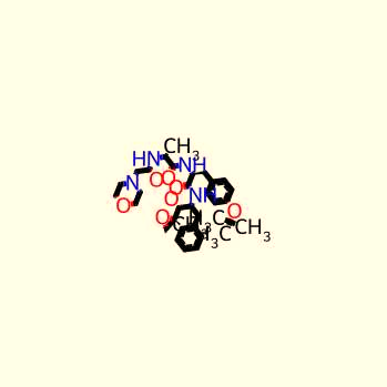 C[C@H](NC(=O)CN1CCOCC1)C(=O)N[C@@H](Cc1ccc(OC(C)(C)C)cc1)C(=O)NC(Cc1ccccc1)C(=O)[C@@]1(C)CO1